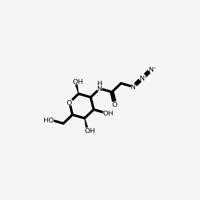 [N-]=[N+]=NCC(=O)NC1C(O)[C@@H](O)C(CO)O[C@H]1O